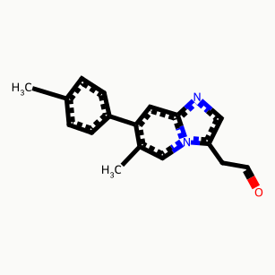 Cc1ccc(-c2cc3ncc(CC=O)n3cc2C)cc1